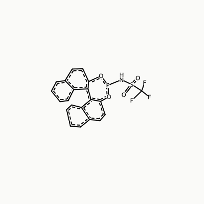 O=S(=O)(Np1oc2ccc3ccccc3c2c2c(ccc3ccccc32)o1)C(F)(F)F